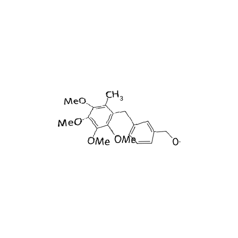 COc1c(C)c(Cc2cccc(C[O])c2)c(OC)c(OC)c1OC